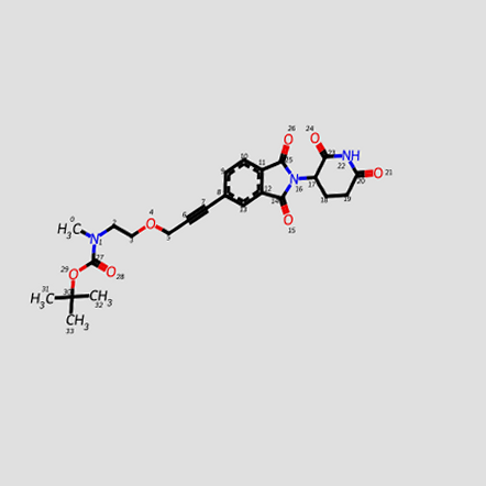 CN(CCOCC#Cc1ccc2c(c1)C(=O)N(C1CCC(=O)NC1=O)C2=O)C(=O)OC(C)(C)C